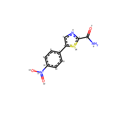 NC(=O)c1ncc(-c2ccc([N+](=O)[O-])cc2)s1